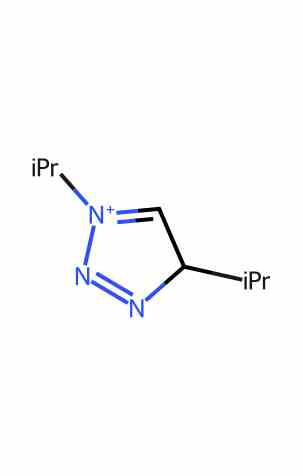 CC(C)C1C=[N+](C(C)C)N=N1